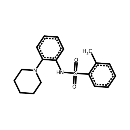 Cc1ccccc1S(=O)(=O)Nc1ccccc1N1CCCCC1